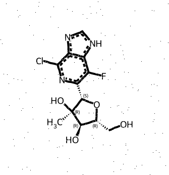 C[C@@]1(O)[C@H](O)[C@@H](CO)O[C@H]1c1nc(Cl)c2nc[nH]c2c1F